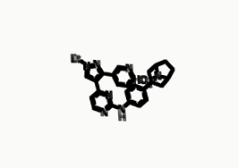 CCn1cc(-c2ccnc(Nc3ccc(C4CC5CCC(C4)N5C(=O)O)cc3)n2)c(-c2cccnc2)n1